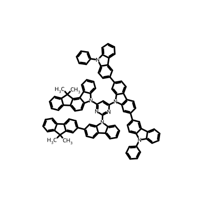 CC1(C)c2ccccc2-c2ccc(-c3ccc4c5ccccc5n(-c5nc(-n6c7cc(-c8ccc9c(c8)c8ccccc8n9-c8ccccc8)ccc7c7ccc(-c8ccc9c(c8)c8ccccc8n9-c8ccccc8)cc76)cc(-n6c7ccccc7c7c8c(ccc76)-c6ccccc6C8(C)C)n5)c4c3)cc21